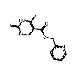 CC1=C(C(=O)OCc2ccccn2)CNC(=S)N1